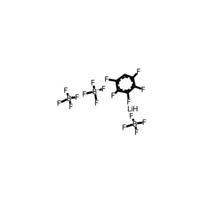 F[B-](F)(F)F.F[B-](F)(F)F.F[B-](F)(F)F.Fc1cc(F)c(F)c(F)c1F.[LiH]